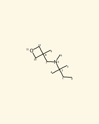 CCC(C)(C)N(C)CC1(C)COC1